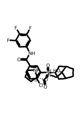 O=C(Nc1cc(F)c(F)c(F)c1)c1ccc(Cl)c(S(=O)(=O)[C@H]2CC3CCC(C2)[C@]3(O)CNC(=O)[C@@H]2CCCN2)c1